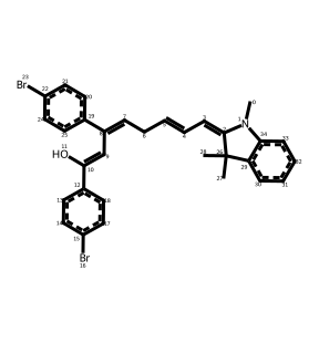 CN1/C(=C/C=C/C/C=C(\C=C(/O)c2ccc(Br)cc2)c2ccc(Br)cc2)C(C)(C)c2ccccc21